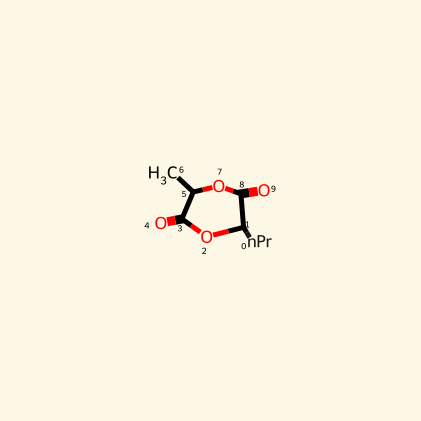 CCCC1OC(=O)C(C)OC1=O